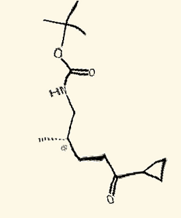 C[C@@H](CCC(=O)C1CC1)CNC(=O)OC(C)(C)C